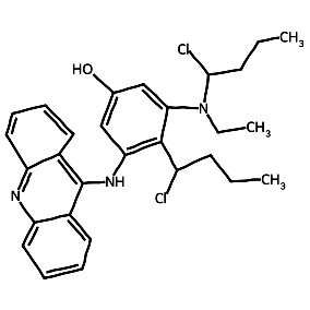 CCCC(Cl)c1c(Nc2c3ccccc3nc3ccccc23)cc(O)cc1N(CC)C(Cl)CCC